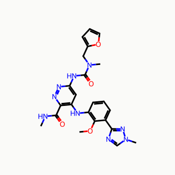 CNC(=O)c1nnc(NC(=O)N(C)Cc2ccco2)cc1Nc1cccc(-c2ncn(C)n2)c1OC